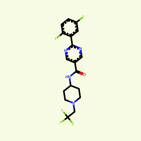 O=C(NC1CCN(CC(F)(F)F)CC1)c1cnc(-c2cc(F)ccc2F)nc1